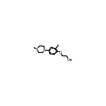 COCCOc1ccc(N2CCN(C)CC2)cc1C